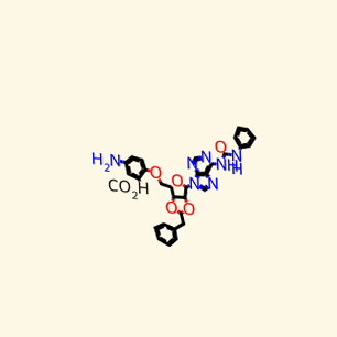 Nc1ccc(OCC2OC(n3cnc4c(NC(=O)Nc5ccccc5)ncnc43)C3OC(Cc4ccccc4)OC23)c(C(=O)O)c1